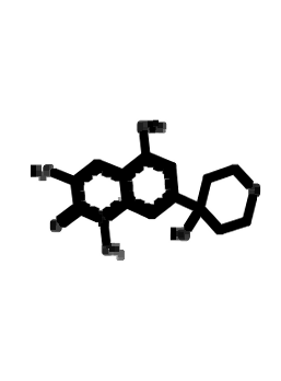 COc1cc(C2(O)CCOCC2)cc2c1cc(C)c(=O)n2C